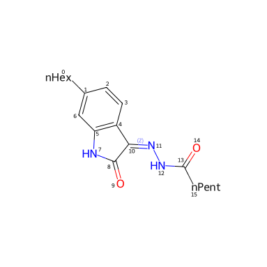 CCCCCCc1ccc2c(c1)NC(=O)/C2=N\NC(=O)CCCCC